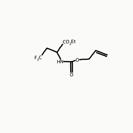 C=CCOC(=O)NC(CC(F)(F)F)C(=O)OCC